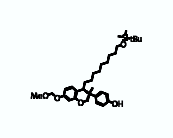 COCOc1ccc2c(c1)OCC(C)(c1ccc(O)cc1)C2CCCCCCCCCO[Si](C)(C)C(C)(C)C